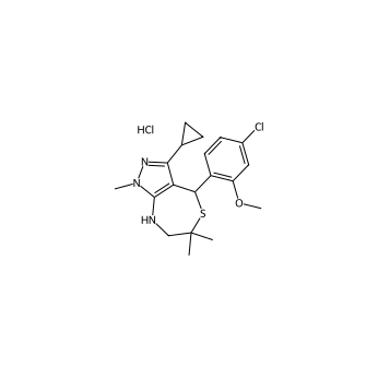 COc1cc(Cl)ccc1C1SC(C)(C)CNc2c1c(C1CC1)nn2C.Cl